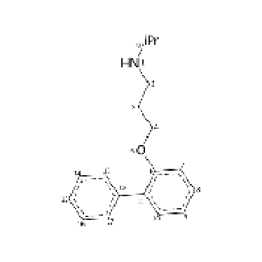 CC(C)NCCCOc1ccccc1-c1ccccc1